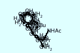 CCC(=O)N[C@H](C(=O)NCC(=O)N[C@H]1C[S+]([O-])c2[nH]c3c(CSCCNC(=O)OCc4ccc(NC(=O)[C@H](CCCNC(N)=O)NC(=O)[C@@H](NC(=O)CCCCCNC(C)=O)C(C)C)cc4)c(OC)ccc3c2C[C@@H](C(N)=O)NC(=O)[C@H]([C@@H](C)[C@@H](O)CO)NC(=O)[C@@H]2C[C@@H](O)CN2C(=O)[C@H](CC(N)=O)NC1=O)[C@@H](C)CC